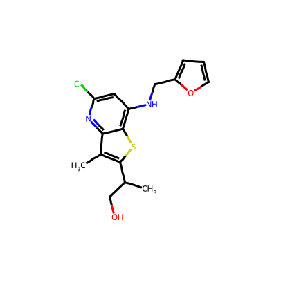 Cc1c(C(C)CO)sc2c(NCc3ccco3)cc(Cl)nc12